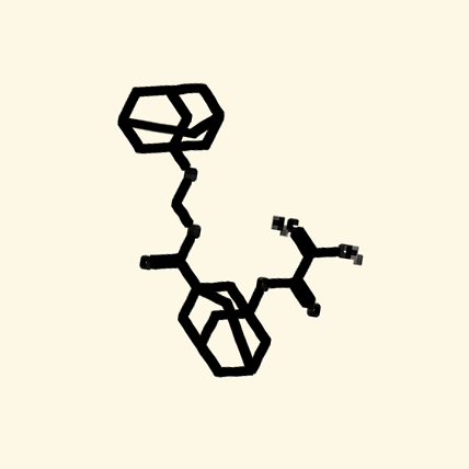 C=C(C)C(=O)OC12CC3CC(C1)CC(C(=O)OCOC14CC5CC(CC(C5)C1)C4)(C3)C2